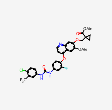 COC(=O)C1(COc2cc3nccc(Oc4ccc(NC(=O)Nc5ccc(Cl)c(C(F)(F)F)c5)cc4F)c3cc2OC)CC1